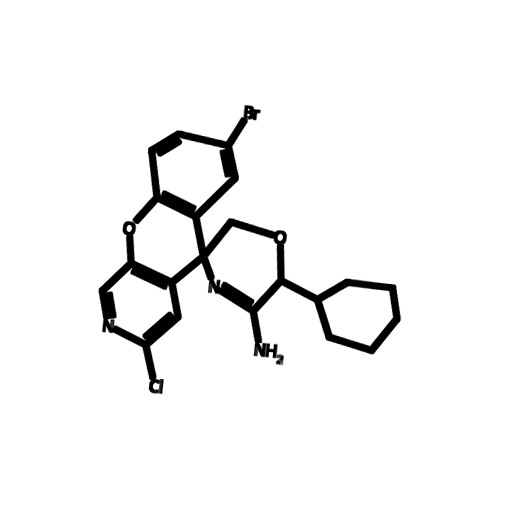 NC1=NC2(COC1C1CCCCC1)c1cc(Br)ccc1Oc1cnc(Cl)cc12